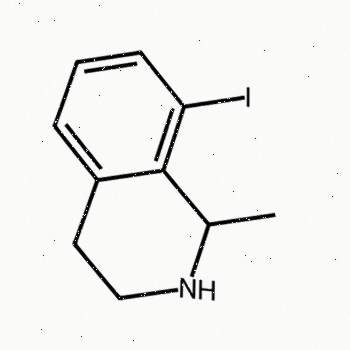 CC1NCCc2cccc(I)c21